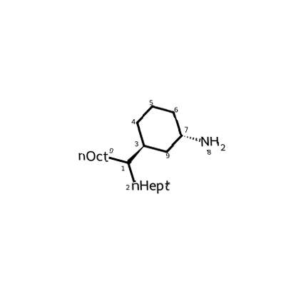 CCCCCCCCC(CCCCCCC)[C@H]1CCC[C@H](N)C1